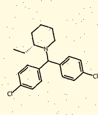 CC[C@@H]1CCCCN1C(c1ccc(Cl)cc1)c1ccc(Cl)cc1